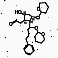 O=CC[C@@H]1[C@H](C(CCCc2ccccc2)OC2CCCCO2)[C@H](OC2CCCCO2)C[C@@H]1O